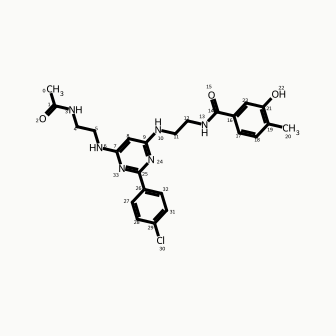 CC(=O)NCCNc1cc(NCCNC(=O)c2ccc(C)c(O)c2)nc(-c2ccc(Cl)cc2)n1